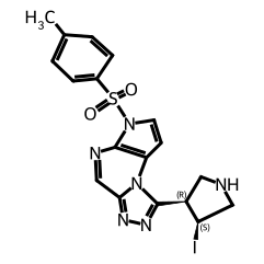 Cc1ccc(S(=O)(=O)n2ccc3c2ncc2nnc([C@H]4CNC[C@H]4I)n23)cc1